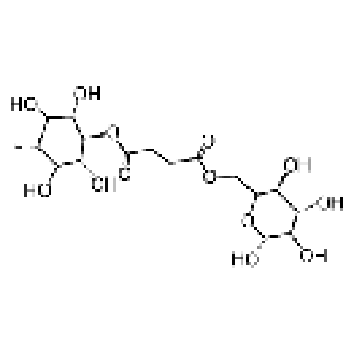 C[C@@H]1C(O)C(O)[C@@H](OC(=O)CCC(=O)OCC2O[C@@H](O)C(O)[C@@H](O)[C@@H]2O)[C@H](O)C1O